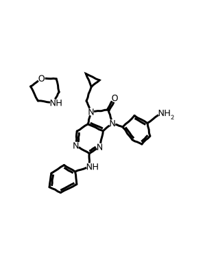 C1COCCN1.Nc1cccc(-n2c(=O)n(CC3CC3)c3cnc(Nc4ccccc4)nc32)c1